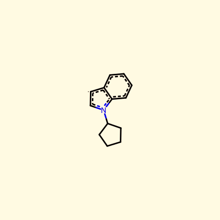 [c]1cn(C2CCCC2)c2ccccc12